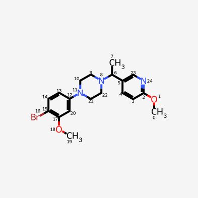 COc1ccc(C(C)N2CCN(c3ccc(Br)c(OC)c3)CC2)cn1